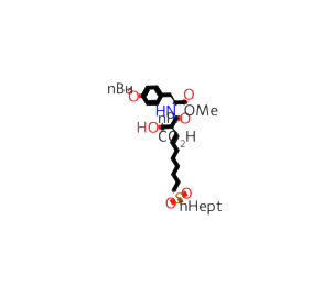 CCCCCCCS(=O)(=O)CCCCCCC=C[C@H](C(=O)N[C@@H](Cc1ccc(OCCCC)cc1)C(=O)OC)[C@@](O)(CCC)C(=O)O